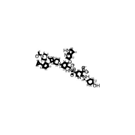 CC(=O)N1CCN(C2CC3(CCN(c4ccc(C(=O)NS(=O)(=O)c5cnc(NC[C@H]6CC[C@](C)(O)CC6)c([N+](=O)[O-])c5)c(Oc5cnc6[nH]ccc6c5)c4)CC3)C2)[C@@H](c2ccccc2C2CC2)C1